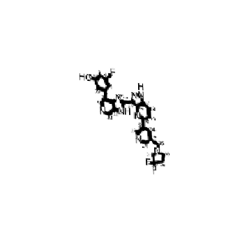 Oc1cc(F)cc(-c2cncc3[nH]c(-c4n[nH]c5ccc(-c6cncc(CN7CCC(F)(F)C7)c6)nc45)nc23)c1